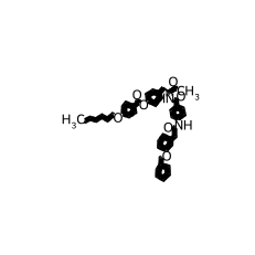 CCCCCCCOc1ccc(C(=O)Oc2ccc(C[C@H](NC(=O)c3ccc(NC(=O)Cc4cccc(OCc5ccccc5)c4)cc3)C(C)=O)cc2)cc1